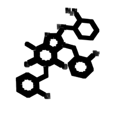 Cn1c(=O)n(Cc2ccccc2Cl)c(=O)c2c1nc(NC1CCCCC1N)n2Cc1ccccc1Br